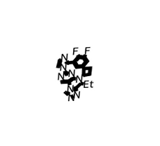 CCC1c2nncn2-c2cnc(-n3ccnc3-c3cccc(F)c3F)nc2N1C1CCC1